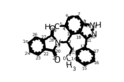 CCC(c1c(C)ccc2[nH]nc(-c3ccccc3)c12)N1C(=O)c2ccccc2C1=O